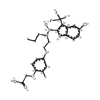 CCCN(CCSc1ccc(OCC(=O)O)c(C)c1)[S+]([O-])c1sc2ccc(Cl)cc2c1C(F)(F)F